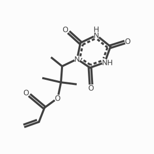 C=CC(=O)OC(C)(C)C(C)n1c(=O)[nH]c(=O)[nH]c1=O